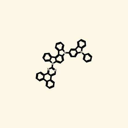 c1ccc(-n2c3ccccc3c3cc(-n4c5ccccc5c5c6c7ccccc7n(-c7ncc8c9ccccc9c9ccccc9c8n7)c6ccc54)ccc32)cc1